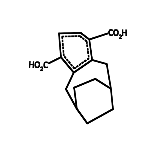 O=C(O)c1ccc(C(=O)O)c2c1CC1CCC(CC1)C2